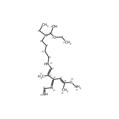 CCOC(O)N(CC)CCCCN/C=C(C)/C(/C=C(\C)ON)=N\C=N